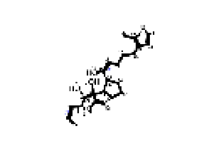 C/C=C\C[C@@H](O)C(O)(C(N)=O)C1CCC[C@@H]1/C(O)=C\CCCc1ccoc1C